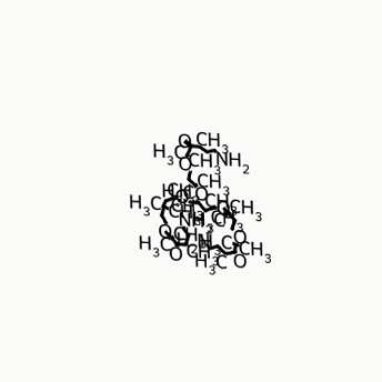 CC(CCN)C(=O)C(C)(C)OCCC(C)(C)CC(C)(C)OCC(CC(C)(C)OC(C)(C)CCOC(C)(C)C(=O)C(C)CCN)OC(C)(C)CCOC(C)(C)C(=O)C(C)CCN